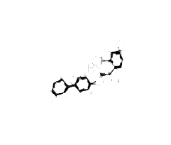 O=C(c1ccc(Cl)cc1Cl)C(Br)Oc1ccc(-c2ccccc2)cc1